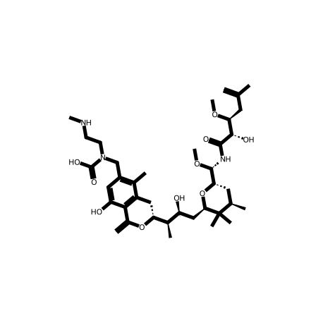 C=C(C)C[C@H](OC)[C@H](O)C(=O)N[C@@H](OC)[C@@H]1C[C@@H](C)C(C)(C)[C@@H](C[C@H](O)[C@@H](C)[C@H]2Cc3c(C)c(CN(CCNC)C(=O)O)cc(O)c3C(=C)O2)O1